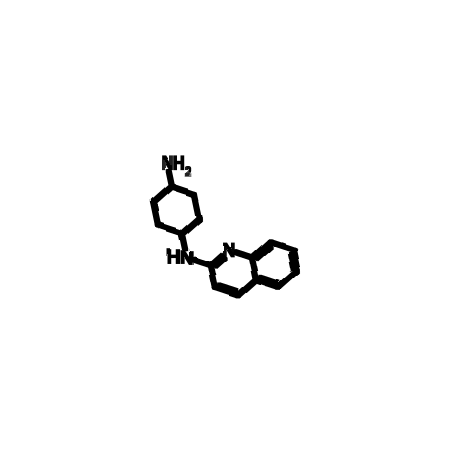 NC1CCC(Nc2ccc3ccccc3n2)CC1